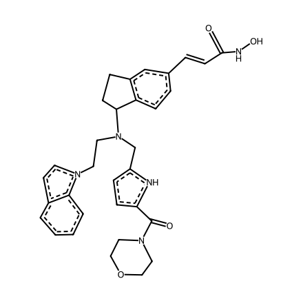 O=C(C=Cc1ccc2c(c1)CCC2N(CCn1ccc2ccccc21)Cc1ccc(C(=O)N2CCOCC2)[nH]1)NO